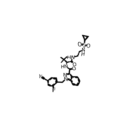 CC(C)(C)[C@H](NC(=O)c1nn(Cc2ccc(C#N)cc2F)c2ccccc12)C(=O)NCCNS(=O)(=O)C1CC1